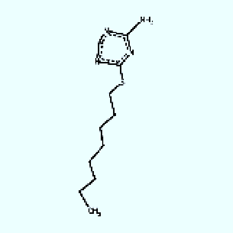 CCCCCCCCSc1ncnc(N)n1